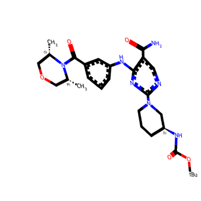 C[C@@H]1COC[C@H](C)N1C(=O)c1cccc(Nc2nc(N3CCC[C@H](NC(=O)OC(C)(C)C)C3)ncc2C(N)=O)c1